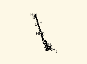 Nc1c(Cl)cc(C(=O)NC2CCN(CCCCCC(=O)NCCCCCCCC(=O)NCCCCC(O)CO)CC2)c2c1CCO2